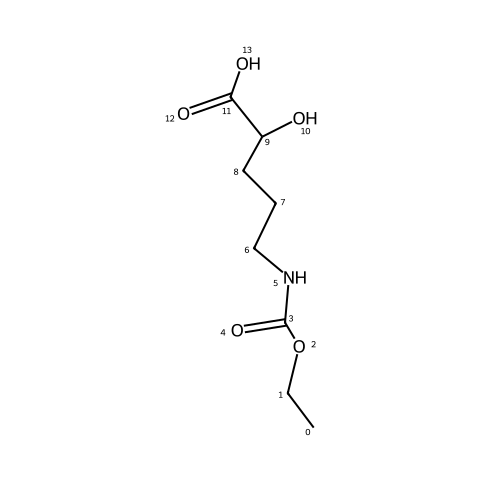 CCOC(=O)NCCCC(O)C(=O)O